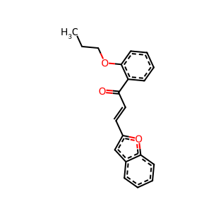 CCCOc1ccccc1C(=O)/C=C/c1cc2ccccc2o1